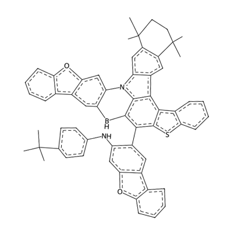 CC(C)(C)c1ccc(Nc2cc3oc4ccccc4c3cc2-c2c3c4c(c5cc6c(cc5n4-c4cc5oc7ccccc7c5cc4B3)C(C)(C)CCC6(C)C)c3c2sc2ccccc23)cc1